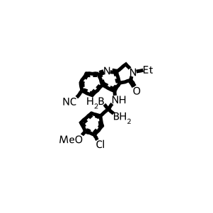 BC(B)(Nc1c2c(nc3ccc(C#N)cc13)CN(CC)C2=O)c1ccc(OC)c(Cl)c1